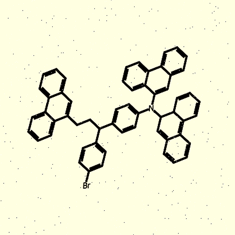 Brc1ccc(C(CCc2cc3ccccc3c3ccccc23)c2ccc(N(c3cc4ccccc4c4ccccc34)C3C=c4ccccc4=C4C=CC=CC43)cc2)cc1